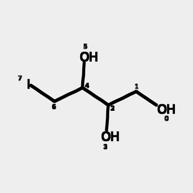 OCC(O)C(O)CI